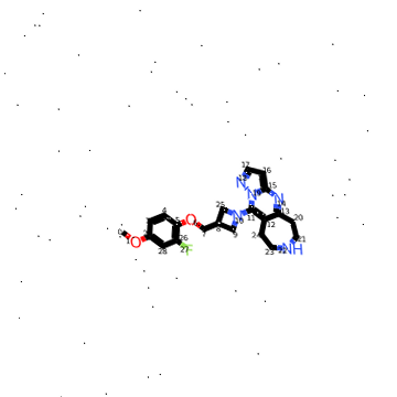 COc1ccc(OCC2CN(c3c4c(nc5ccnn35)CCNCC4)C2)c(F)c1